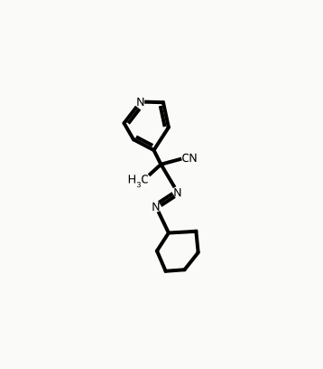 CC(C#N)(N=NC1CCCCC1)c1ccncc1